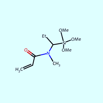 C=CC(=O)N(C)C(CC)[Si](OC)(OC)OC